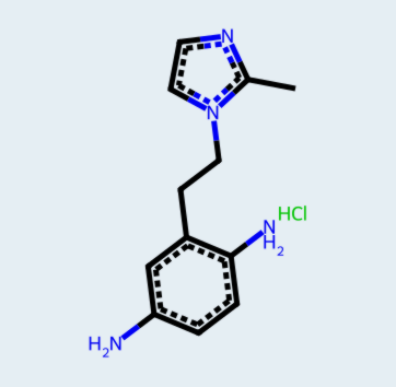 Cc1nccn1CCc1cc(N)ccc1N.Cl